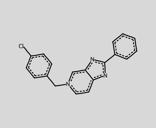 Clc1ccc(Cn2ccc3nc(-c4ccccc4)nc-3c2)cc1